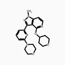 Cn1nc(-c2cccc(N3CCOCC3)n2)c2c(OC3CCOCC3)nccc21